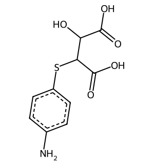 Nc1ccc(SC(C(=O)O)C(O)C(=O)O)cc1